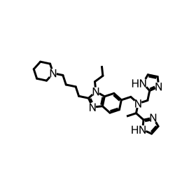 CCCn1c(CCCCN2CCCCC2)nc2ccc(CN(Cc3ncc[nH]3)C(C)c3ncc[nH]3)cc21